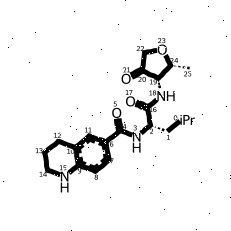 CC(C)C[C@H](NC(=O)c1ccc2c(c1)CCCN2)C(=O)N[C@@H]1C(=O)CO[C@@H]1C